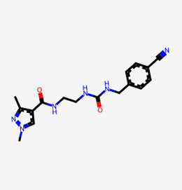 Cc1nn(C)cc1C(=O)NCCNC(=O)NCc1ccc(C#N)cc1